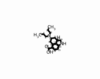 CCCN(CCC)[C@H]1Cc2c(C(=O)O)ccc3c2[C@@H](CN3)C1